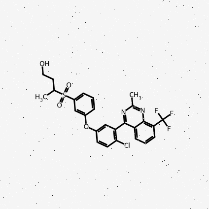 Cc1nc(-c2cc(Oc3cccc(S(=O)(=O)C(C)CCO)c3)ccc2Cl)c2cccc(C(F)(F)F)c2n1